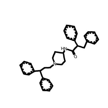 O=C(NC1CCN(CCC(c2ccccc2)c2ccccc2)CC1)C(Cc1ccccc1)c1ccccc1